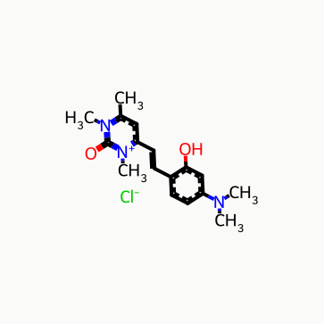 Cc1cc(C=Cc2ccc(N(C)C)cc2O)[n+](C)c(=O)n1C.[Cl-]